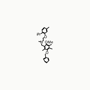 COc1c(C)c(C)c(OCc2ccccc2)c(C)c1CN(C)CCOc1cc(C)ccc1C(C)C